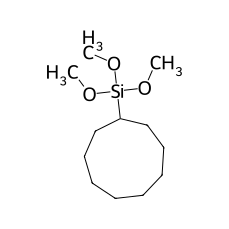 CO[Si](OC)(OC)C1CCCCCCCC1